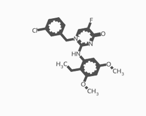 CCc1c(Nc2nc(=O)c(F)cn2Cc2cccc(Cl)c2)cc(OC)cc1OC